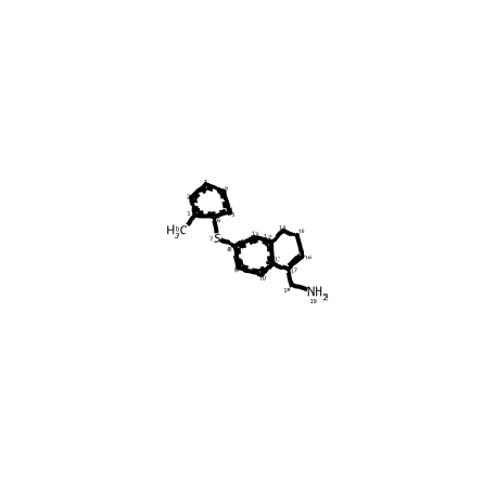 Cc1ccccc1Sc1ccc2c(c1)CCC=C2CN